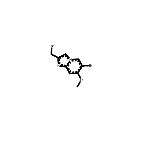 COc1cc2nc(CBr)cn2cc1Br